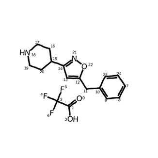 O=C(O)C(F)(F)F.c1ccc(Cc2cc(C3CCNCC3)no2)cc1